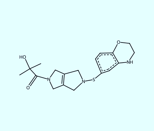 CC(C)(O)C(=O)N1CC2=C(CN(Sc3ccc4c(c3)NCCO4)C2)C1